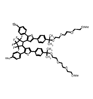 COCCOCCOCCOC(C)(C)c1ccc(-c2cc(C3C(c4cc(-c5ccc(C(C)(C)OCCOCCOCCOC)cc5)sc4-c4ccc(C(C)(C)C)cc4)C(F)(F)C(F)(F)C3(F)F)c(-c3ccc(C(C)(C)C)cc3)s2)cc1